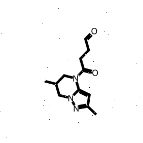 Cc1cc2n(n1)CC(C)CN2C(=O)CCC=O